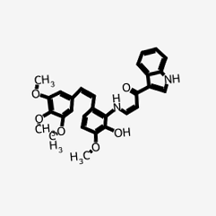 COc1ccc(/C=C\c2cc(OC)c(OC)c(OC)c2)c(N/C=C\C(=O)c2c[nH]c3ccccc23)c1O